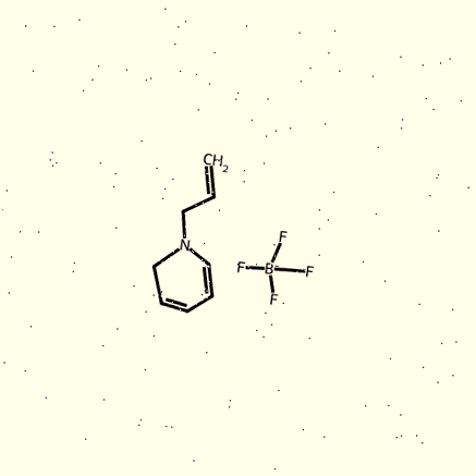 C=CCN1C=CC=CC1.F[B-](F)(F)F